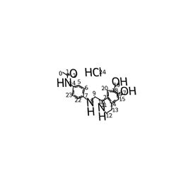 CC(=O)Nc1ccc(NCC2NCCc3cc(O)c(O)cc32)cc1.Cl